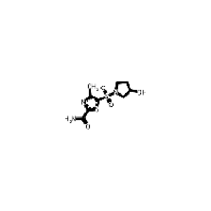 Cc1nc(C(N)=O)sc1S(=O)(=O)N1CCC(O)C1